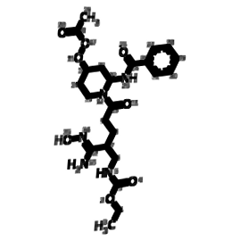 CCOC(=O)NCC(CCC(=O)N1CCC(OOC(C)=O)CC1NC(=O)c1ccccc1)C(N)=NO